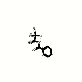 N=C(OC(=O)c1ccccc1)C(Cl)(Cl)Cl